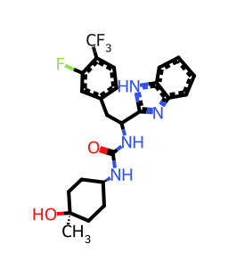 C[C@]1(O)CC[C@@H](NC(=O)NC(Cc2ccc(C(F)(F)F)c(F)c2)c2nc3ccccc3[nH]2)CC1